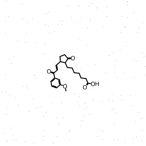 COc1cccc(C(=O)C=CC2CCC(=O)C2CCCCCCC(=O)O)c1